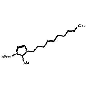 CCCCCCCCCCCCCCCCCCCN1C=CN(CCCCC)C1CCCC